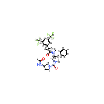 CC(=O)NC1CCN(C(=O)N2C[C@@H](N(C)C(=O)C(C)(C)c3cc(C(F)(F)F)cc(C(F)(F)F)c3)[C@H](c3ccccc3)C2)C1